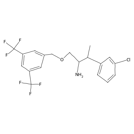 CC(c1cccc(Cl)c1)C(N)COCc1cc(C(F)(F)F)cc(C(F)(F)F)c1